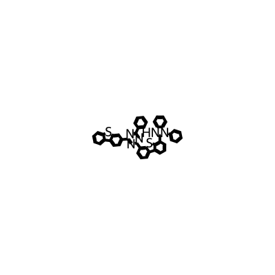 c1ccc(-c2nc(-c3ccc4c(c3)sc3ccccc34)nc(-c3cccc4c3sc3c(C5Nc6ccccc6N5c5ccccc5)cccc34)n2)cc1